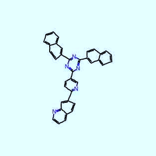 c1ccc2cc(-c3nc(-c4ccc(-c5ccc6cccnc6c5)nc4)nc(-c4ccc5ccccc5c4)n3)ccc2c1